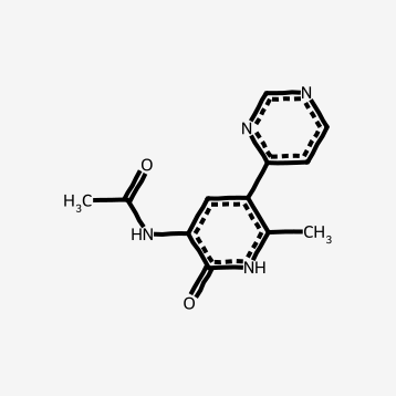 CC(=O)Nc1cc(-c2ccncn2)c(C)[nH]c1=O